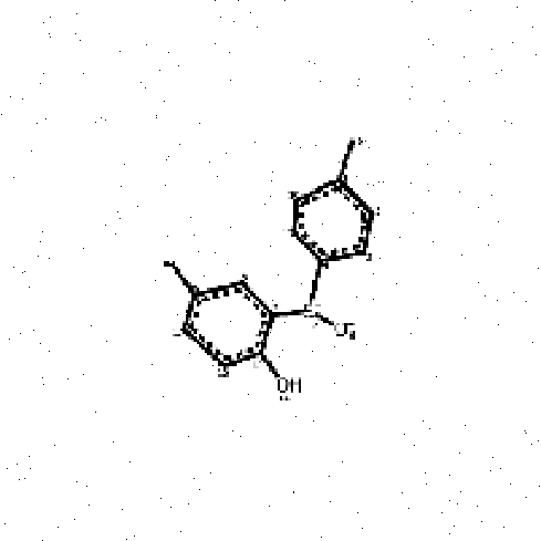 Cc1ccc([S+]([O-])c2cc(C)ccc2O)cc1